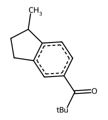 CC1CCc2cc(C(=O)C(C)(C)C)ccc21